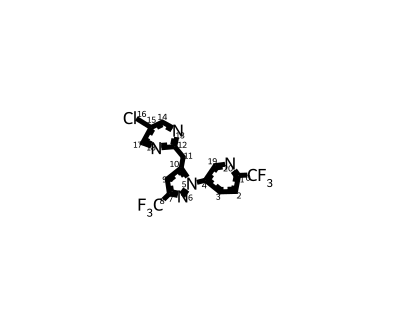 FC(F)(F)c1ccc(-n2nc(C(F)(F)F)cc2Cc2ncc(Cl)cn2)cn1